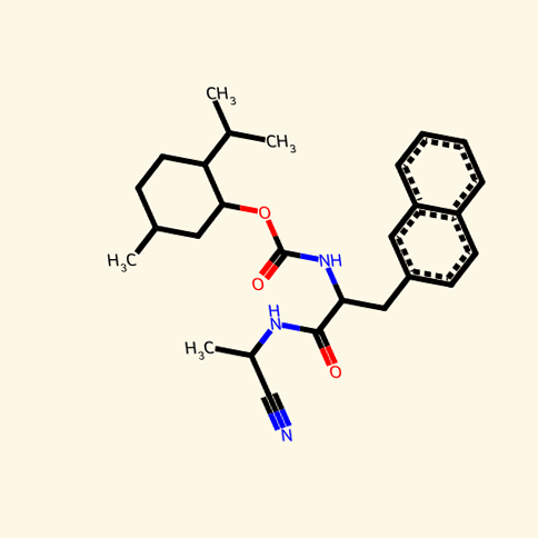 CC1CCC(C(C)C)C(OC(=O)NC(Cc2ccc3ccccc3c2)C(=O)NC(C)C#N)C1